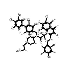 [2H]c1c([2H])c(F)c(F)c(CSc2c([2H])c(=O)c3c([2H])c([2H])c([2H])c([2H])c3n2C([2H])([2H])C(=O)N(Cc2c([2H])c([2H])c(-c3c([2H])c([2H])c(C(F)(F)F)c(C)c3[2H])c([2H])c2[2H])C2CCN(CCOC)CC2)c1[2H]